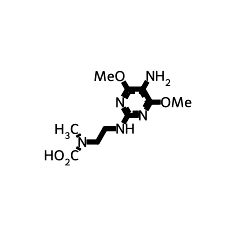 COc1nc(NCCN(C)C(=O)O)nc(OC)c1N